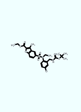 CCOC(=O)c1oc2ccc(S(=O)(=O)N(CC)c3ccc(Cl)cc3CNC(=O)OC(C)(C)C)cc2c1C